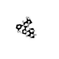 Cc1cccc(-n2c(C3CCCN3c3ncnc4[nH]cnc(=O)c34)nn3ccc(C)c3c2=O)c1